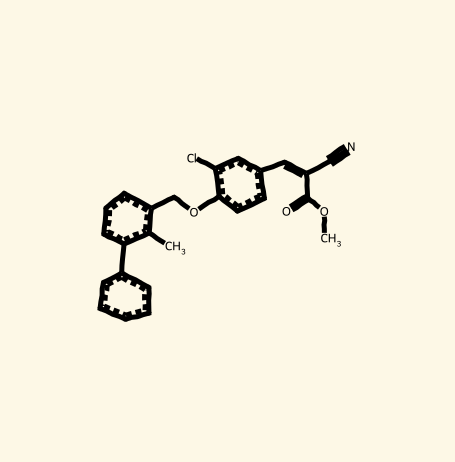 COC(=O)C(C#N)=Cc1ccc(OCc2cccc(-c3ccccc3)c2C)c(Cl)c1